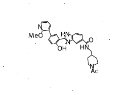 COc1ncccc1-c1ccc(O)c(-c2nc3cc(C(=O)NCC4CCN(C(C)=O)CC4)ccc3[nH]2)c1